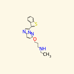 CCNCCCOc1ccc2ncc(-c3csc4ccccc34)n2n1